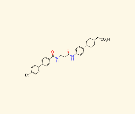 CCc1ccc(-c2ccc(C(=O)NCCC(=O)Nc3ccc([C@H]4CC[C@H](CC(=O)O)CC4)cc3)cc2)cc1